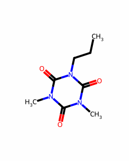 CCCn1c(=O)n(C)c(=O)n(C)c1=O